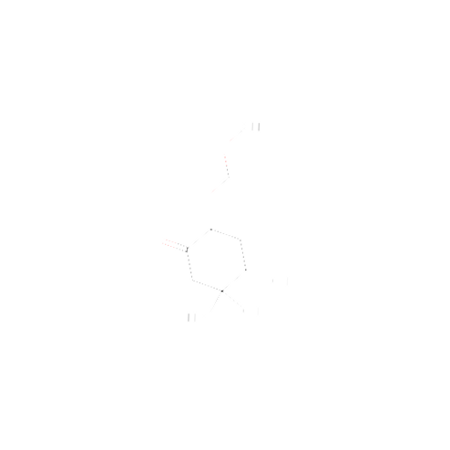 COCO[C@@H]1C[C@H](C)C(C)(C)CC1=O